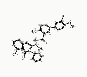 Cc1ncc(-c2ccc(OC(C)C)c(F)c2)nc1C(=O)N[C@@H](C)c1cc2cccc(Cl)c2c(=O)n1-c1ccccc1